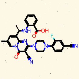 Cc1cc([C@@H](C)Nc2ccccc2C(=O)O)c2nc(N3CCN(c4ccc(C#N)cc4F)CC3)c(C#N)c(=O)n2c1